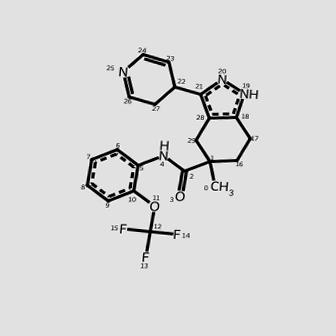 CC1(C(=O)Nc2ccccc2OC(F)(F)F)CCc2[nH]nc(C3C=CN=CC3)c2C1